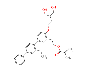 C=C(C)C(=O)OCCc1cc(-c2ccc(-c3ccccc3)cc2CC)ccc1OCCC(CO)CO